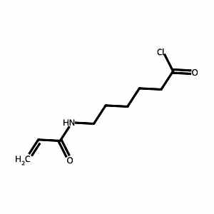 C=CC(=O)NCCCCCC(=O)Cl